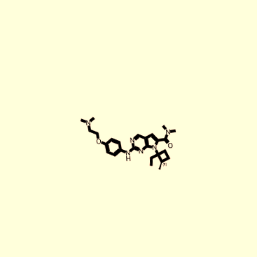 CCC1(n2c(C(=O)N(C)C)cc3cnc(Nc4ccc(OCCN(C)C)cc4)nc32)CC[C@H]1C